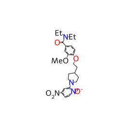 CCN(CC)C(=O)c1ccc(OCCC2CCN(c3cc([N+](=O)[O-])cc[n+]3[O-])CC2)c(OC)c1